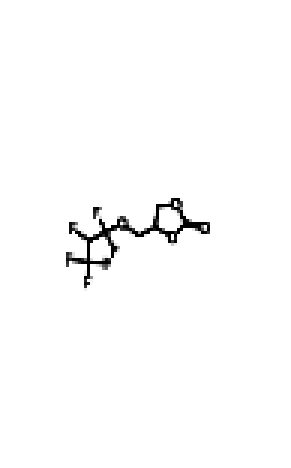 O=C1OCC(COC(F)(F)C(F)C(F)(F)F)O1